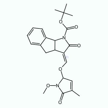 CON1C(=O)C(C)=CC1O/C=C1/C(=O)N(C(=O)OC(C)(C)C)C2c3ccccc3CC12